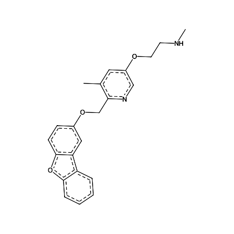 CNCCOc1cnc(COc2ccc3oc4ccccc4c3c2)c(C)c1